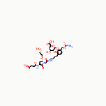 NC(=O)OCc1ccc(CCCCNC(=O)CN2C(=O)[C@@H](NC(=O)CCC(=O)O)C[C@H]2COCCSO)cc1OC1OC(C(=O)O)CC(O)[C@H]1O